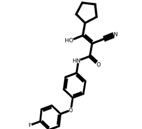 N#CC(C(=O)Nc1ccc(Oc2ccc(F)cc2)cc1)=C(O)C1CCCC1